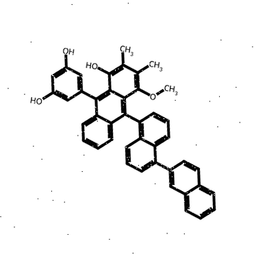 COc1c(C)c(C)c(O)c2c(-c3cc(O)cc(O)c3)c3ccccc3c(-c3cccc4c(-c5ccc6ccccc6c5)cccc34)c12